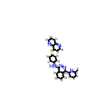 Cc1cccc(-c2nnc(Nc3ccc(Sc4ccnc5cccnc45)cc3)c3ccccc23)n1